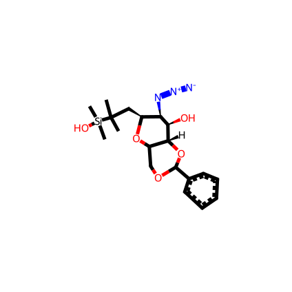 CC(C)(C[C@@H]1OC2COC(c3ccccc3)O[C@H]2[C@H](O)[C@@H]1N=[N+]=[N-])[Si](C)(C)O